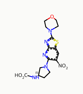 O=C(O)N[C@H]1CCN(c2nc3nc(N4CCOCC4)sc3cc2[N+](=O)[O-])C1